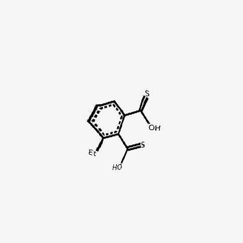 CCc1cccc(C(O)=S)c1C(O)=S